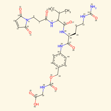 CC(C)C(NC(=O)CCN1C(=O)C=CC1=O)C(=O)N[C@@H](CCCNC(N)=O)C(=O)Nc1ccc(COC(=O)NCC(=O)O)cc1